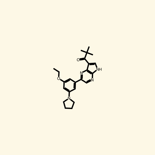 CCOc1cc(-c2cnc3[nH]cc(C(=O)C(C)(C)C)c3n2)cc(N2CCCC2)c1